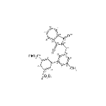 CCOC(=O)C1=CN(c2cc(C)nc(CN3C(=O)c4ccccc4C3=O)c2)C=C(C(=O)OCC)C1